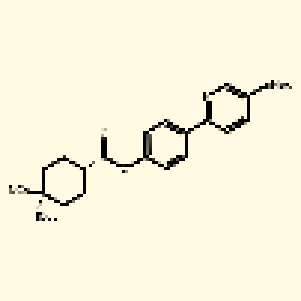 CCCCCCCC[C@]1(C#N)CC[C@H](C(=O)Oc2ccc(-c3ccc(CCCCCC)cn3)cc2)CC1